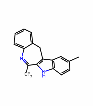 Cc1ccc2[nH]c3c(c2c1)Cc1ccccc1N=C3C(F)(F)F